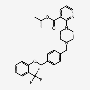 CC(C)OC(=O)c1cccnc1N1CCN(Cc2ccc(COc3ccccc3C(F)(F)F)cc2)CC1